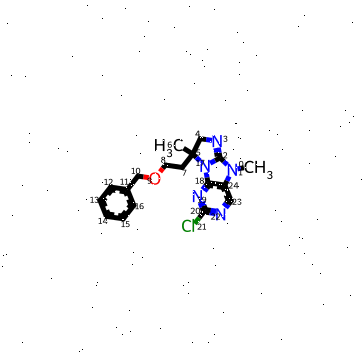 CN1C2=NCC(C)(CCOCc3ccccc3)N2c2nc(Cl)ncc21